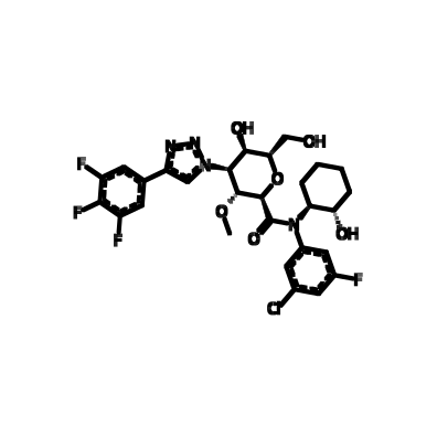 CO[C@@H]1[C@@H](n2cc(-c3cc(F)c(F)c(F)c3)nn2)[C@@H](O)[C@@H](CO)O[C@H]1C(=O)N(c1cc(F)cc(Cl)c1)[C@H]1CCCC[C@@H]1O